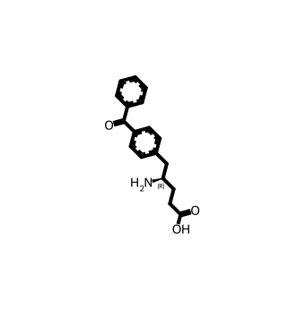 N[C@H](CCC(=O)O)Cc1ccc(C(=O)c2ccccc2)cc1